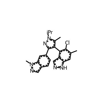 Cc1cc2[nH]ncc2c(-c2c(-c3ccc4cnn(C)c4c3)nn(C(C)C)c2C)c1Cl